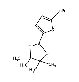 CCCc1ccc(B2OC(C)(C)C(C)(C)O2)s1